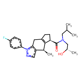 CC(C)CN(C[C@H](C)O)C(=O)[C@@H]1CCC2=C1[C@@H](C)c1cnn(-c3ccc(F)cc3)c1C2